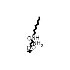 CCCCCCCCCNC(=O)[C@@H](N)CC(=O)OC(C)(C)C